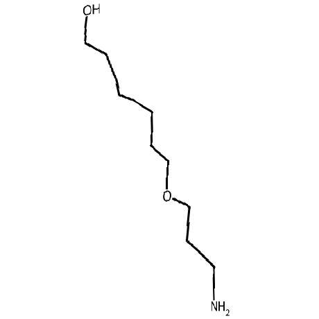 NCCCOCCCCCCO